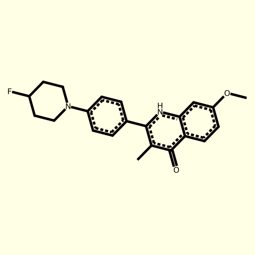 COc1ccc2c(=O)c(C)c(-c3ccc(N4CCC(F)CC4)cc3)[nH]c2c1